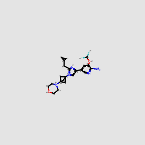 Nc1ncc(-c2cn(C34CC(N5CCOCC5)(C3)C4)c(CC3CC3)n2)cc1OC(F)F